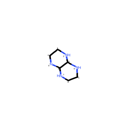 C1CNC2NCCNC2[N]1